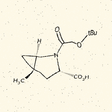 CC(C)(C)OC(=O)N1[C@H](C(=O)O)C[C@]2(C)C[C@@H]12